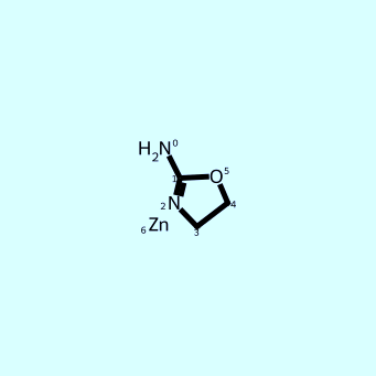 NC1=NCCO1.[Zn]